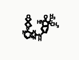 CC1(C)C(=O)Nc2cc(Nc3nc4c(N5CC6(COC6)C5)nccn4n3)ccc21